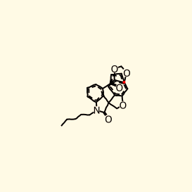 CCCCCN1C(=O)C2(COc3cc4c(cc32)OCO4)c2c(-c3ccco3)cccc21